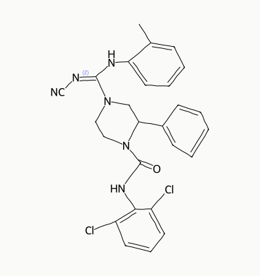 Cc1ccccc1N/C(=N/C#N)N1CCN(C(=O)Nc2c(Cl)cccc2Cl)C(c2ccccc2)C1